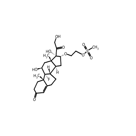 C[C@]12CCC(=O)C=C1CC[C@H]1[C@@H]3C[C@@H](OCCOS(C)(=O)=O)[C@](O)(C(=O)CO)[C@@]3(C)C[C@H](O)[C@@]12F